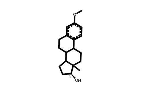 COc1ccc2c(c1)CCC1C2CCC2(C)C1CC[C@@H]2O